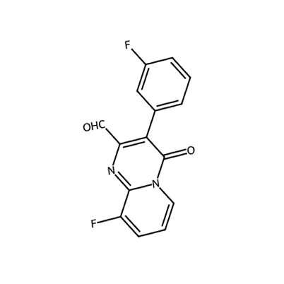 O=Cc1nc2c(F)cccn2c(=O)c1-c1cccc(F)c1